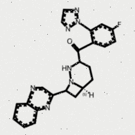 O=C(c1ccc(F)cc1-n1nccn1)C1CC[C@H]2CC(c3cnc4ccccc4n3)N2N1